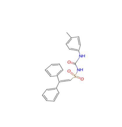 Cc1ccc(NC(=O)NS(=O)(=O)C=C(c2ccccc2)c2ccccc2)cc1